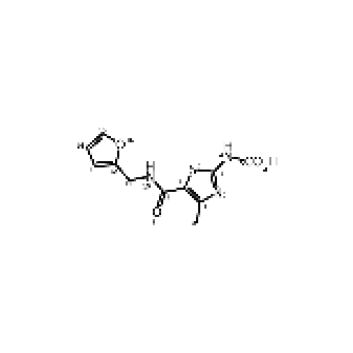 Cc1nc(NC(=O)O)sc1C(=O)NCc1ccco1